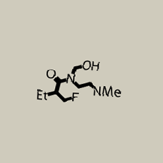 CCC(CF)C(=O)N(CO)CCNC